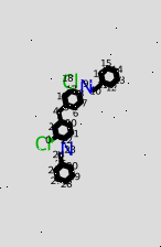 Clc1cc(Cc2ccc(N=Cc3ccccc3)c(Cl)c2)ccc1N=Cc1ccccc1